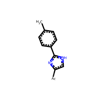 CC(=O)c1c[nH]c(-c2ccc(C)cc2)n1